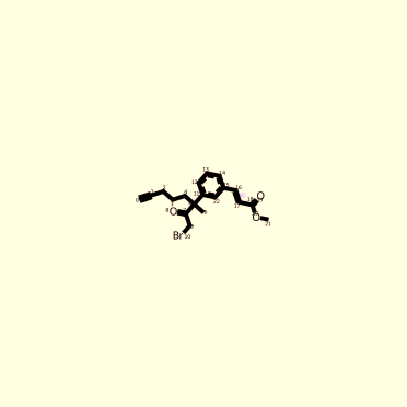 C#CCCCC(C)(C(=O)CBr)c1cccc(/C=C/C(=O)OC)c1